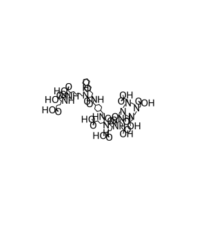 O=C(O)CCC(NC(=O)NC(CCCCNC(=O)C(Cc1ccc2ccccc2c1)NC(=O)C1CCC(CNC(=O)C(CCC(=O)O)NC(=O)C(CCC(=O)O)NC(=O)C(CCC(=O)O)NC(=O)CN2CCN(CC(=O)O)CCN(CC(=O)O)CCN(CC(=O)O)CC2)CC1)C(=O)O)C(=O)O